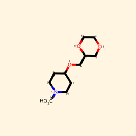 O=C(O)N1CCC(OCC2COCCO2)CC1